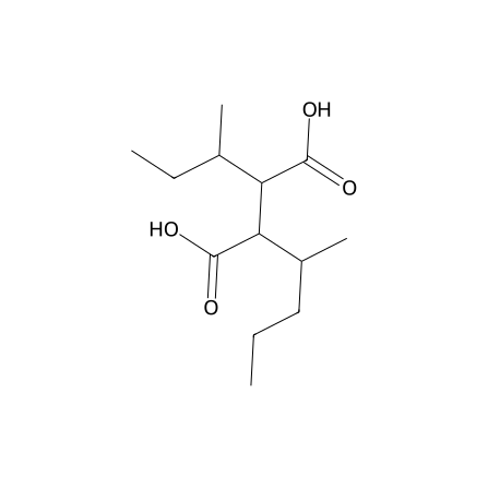 CCCC(C)C(C(=O)O)C(C(=O)O)C(C)CC